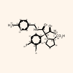 NC(=O)[C@](C(=O)NCc1ccc(N)nc1)(c1ccc(F)c(F)c1)N1CCC[C@@H]1C(=O)O